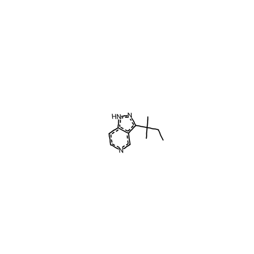 CCC(C)(C)c1n[nH]c2ccncc12